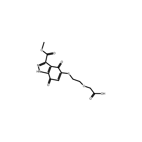 COC(=O)c1n[nH]c2c1C(=O)C(SCCOCC(=O)O)=CC2=O